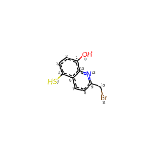 Oc1ccc(S)c2ccc(CBr)nc12